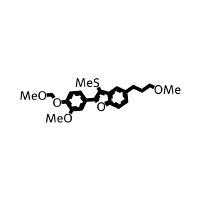 COCCCc1ccc2oc(-c3ccc(OCOC)c(OC)c3)c(SC)c2c1